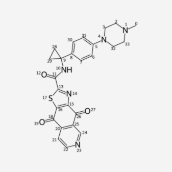 CN1CCN(c2ccc(C3(NC(=O)c4nc5c(s4)C(=O)c4ccncc4C5=O)CC3)cc2)CC1